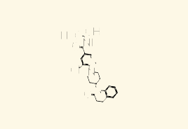 CC(C)NC(=O)c1cnc(N2CCC(N3C(=O)CCc4ccccc43)CC2)c(Cl)c1